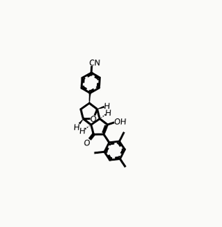 Cc1cc(C)c(C2=C(O)[C@@H]3[C@@H]4O[C@@H](C[C@H]4c4ccc(C#N)cc4)[C@@H]3C2=O)c(C)c1